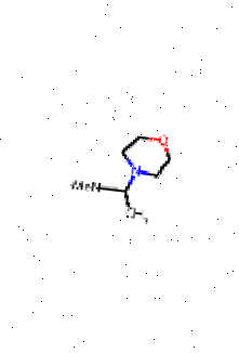 C[N]C(C)N1CCOCC1